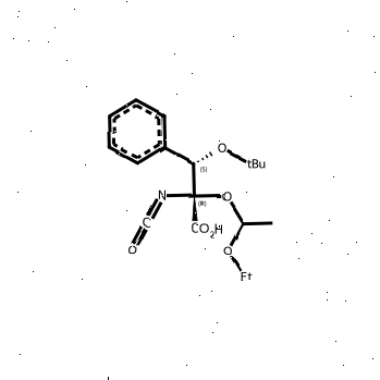 CCOC(C)O[C@@](N=C=O)(C(=O)O)[C@@H](OC(C)(C)C)c1ccccc1